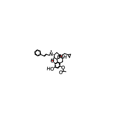 CC(=O)Oc1cc(O)c2c3c1C[C@@H]1[C@@H]4CC[C@@H](N(C)CC=Cc5ccccc5)[C@H](O2)[C@]34CCN1CC1CC1